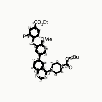 CCOC(=O)c1ccc(Sc2cc(-c3ccc4ncnc(N5CCN(C(=O)OC(C)(C)C)CC5)c4c3)cnc2OC)c(F)c1